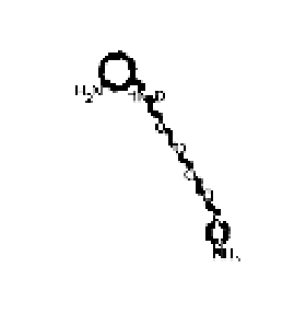 Nc1ccccccc(CNC(=O)CCOCCOCCOCCOCCN2CCN(N)CC2)cc1